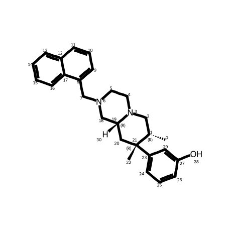 C[C@H]1CN2CCN(Cc3cccc4ccccc34)C[C@H]2C[C@@]1(C)c1cccc(O)c1